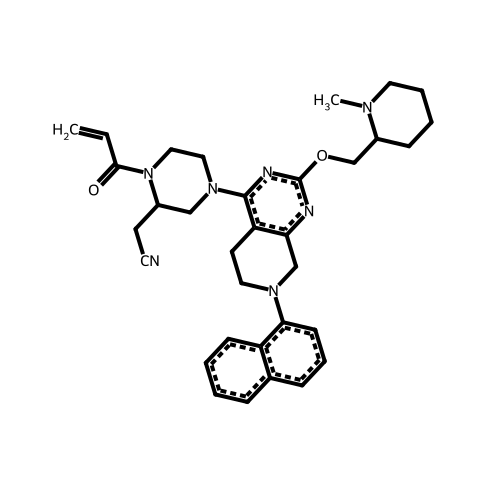 C=CC(=O)N1CCN(c2nc(OCC3CCCCN3C)nc3c2CCN(c2cccc4ccccc24)C3)CC1CC#N